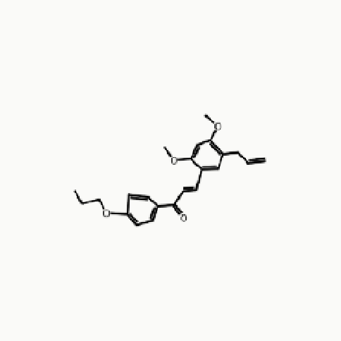 C=CCc1cc(C=CC(=O)c2ccc(OCCC)cc2)c(OC)cc1OC